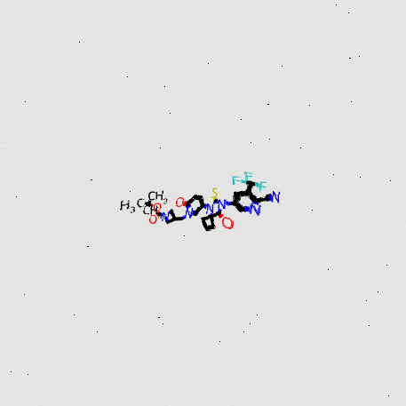 CC(C)(C)OC(=O)N1CC(Cn2cc(N3C(=S)N(c4cnc(C#N)c(C(F)(F)F)c4)C(=O)C34CCC4)ccc2=O)C1